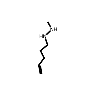 C=CCCCNNC